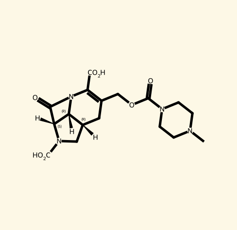 CN1CCN(C(=O)OCC2=C(C(=O)O)N3C(=O)[C@@H]4[C@H]3[C@H](C2)CN4C(=O)O)CC1